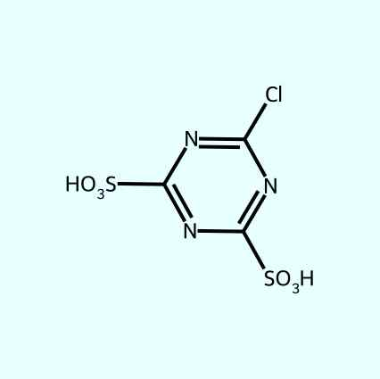 O=S(=O)(O)c1nc(Cl)nc(S(=O)(=O)O)n1